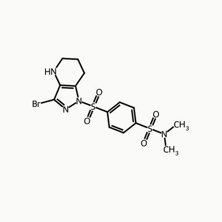 CN(C)S(=O)(=O)c1ccc(S(=O)(=O)n2nc(Br)c3c2CCCN3)cc1